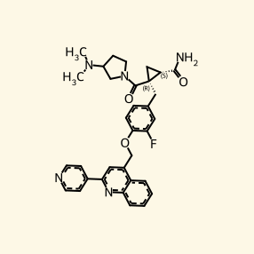 CN(C)C1CCN(C(=O)[C@@]2(Cc3ccc(OCc4cc(-c5ccncc5)nc5ccccc45)c(F)c3)C[C@@H]2C(N)=O)C1